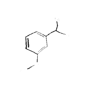 COc1cccc(C(C)[NH])c1